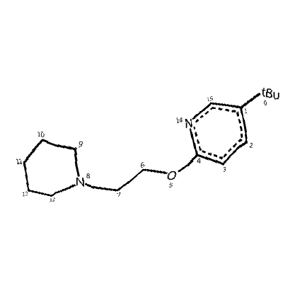 CC(C)(C)c1ccc(OCCN2CCCCC2)nc1